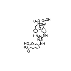 O=C(O)/C=C/c1ccc(Nc2nc(Nc3ccc(C=C(C(=O)O)C(=O)O)cc3)nc(Nc3ccc(C=C(C(=O)O)C(=O)O)cc3)n2)cc1